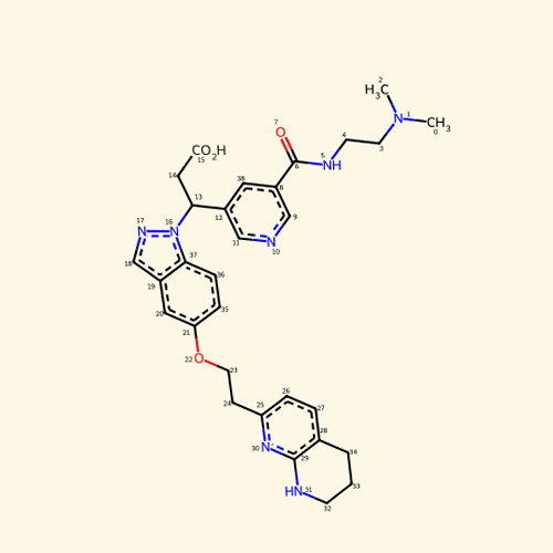 CN(C)CCNC(=O)c1cncc(C(CC(=O)O)n2ncc3cc(OCCc4ccc5c(n4)NCCC5)ccc32)c1